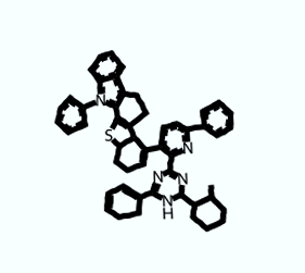 CC1CCCCC1C1N=C(c2nc(-c3ccccc3)ccc2C2=CCCC3SC4=C(CCc5c4n(-c4ccccc4)c4ccccc54)C23)N=C(C2=CC=CCC2)N1